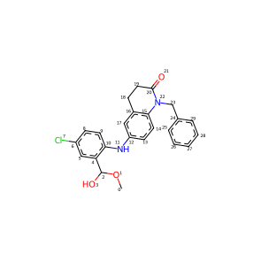 COC(O)c1cc(Cl)ccc1Nc1ccc2c(c1)CCC(=O)N2Cc1ccccc1